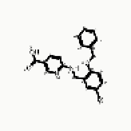 O=C(O)c1ccc(NCc2cc(Br)ccc2OCc2ccccc2)nc1